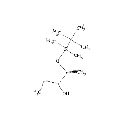 CCC(O)[C@H](C)O[Si](C)(C)C(C)(C)C